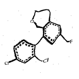 Fc1cc2c(c(-c3ccc(Cl)cc3Cl)c1)O[CH]C2